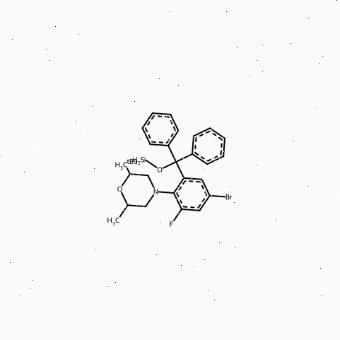 CC1CN(c2c(F)cc(Br)cc2C(O[SiH2]C(C)(C)C)(c2ccccc2)c2ccccc2)CC(C)O1